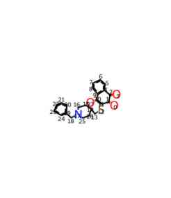 O=C1C(=O)c2ccccc2C2=C1SCC1(CCN(Cc3ccccc3)CC1)O2